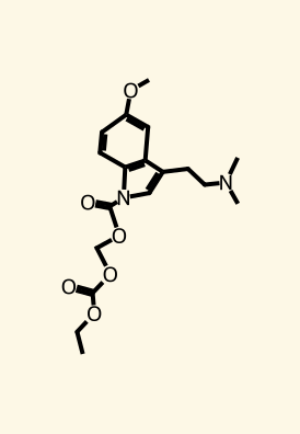 CCOC(=O)OCOC(=O)n1cc(CCN(C)C)c2cc(OC)ccc21